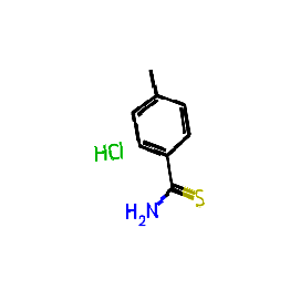 Cc1ccc(C(N)=S)cc1.Cl